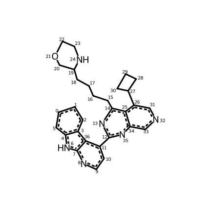 c1ccc2c(c1)[nH]c1nccc(-c3nc(CCCCC4COCCN4)c4c(C5CCC5)cncc4n3)c12